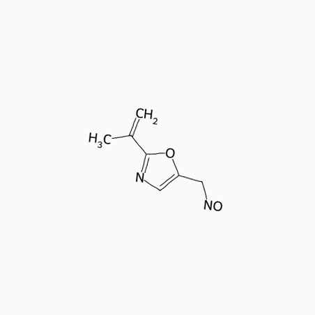 C=C(C)c1ncc(CN=O)o1